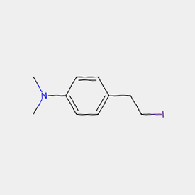 CN(C)c1ccc(CCI)cc1